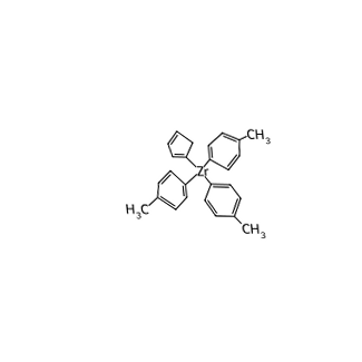 Cc1cc[c]([Zr]([C]2=CC=CC2)([c]2ccc(C)cc2)[c]2ccc(C)cc2)cc1